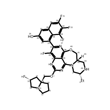 CC[C@@H]1CN2c3nc(OC[C@@]45CCCN4C[C@H](F)C5)nc4c(F)c(-c5cc(O)cc6cc(F)c(F)c(F)c56)nc(c34)OC[C@@H]2CN1